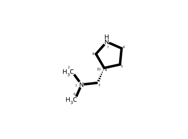 CN(C)C[C@H]1CCNC1